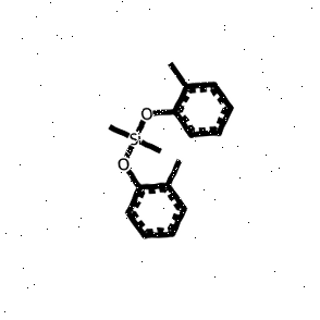 Cc1ccccc1O[Si](C)(C)Oc1ccccc1C